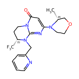 C[C@@H]1COCCN1c1cc(=O)n2c(n1)N(Cc1ccccn1)[C@H](C(F)(F)F)CC2